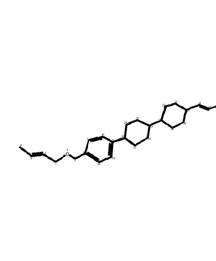 CC=CCOCc1ccc(C2CCC(C3CCC(/C=C/C)CC3)CC2)cc1